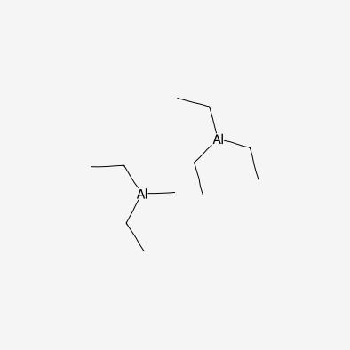 C[CH2][Al]([CH2]C)[CH2]C.C[CH2][Al]([CH3])[CH2]C